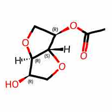 CC(=O)O[C@@H]1CO[C@H]2[C@H]1OC[C@H]2O